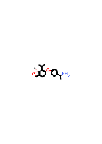 CB1OCc2ccc(Oc3ccc([C@H](C)N)cc3)c(C(C)C)c21